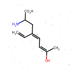 C=C/C(=C\C=C(/C)O)CC(N)C(=O)O